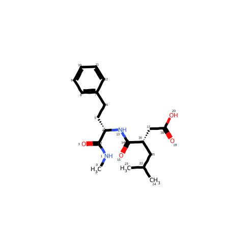 CNC(=O)[C@H](CCc1ccccc1)NC(=O)[C@H](CC(=O)O)CC(C)C